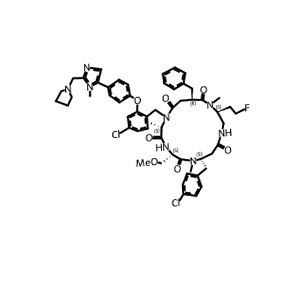 COC[C@@H]1NC(=O)[C@H](C)N(Cc2ccc(Cl)cc2Oc2ccc(-c3cnc(CN4CCCC4)n3C)cc2)C(=O)C[C@@H](Cc2ccccc2)C(=O)N(C)[C@@H](CCF)CNC(=O)C[C@H](Cc2ccc(Cl)cc2)N(C)C1=O